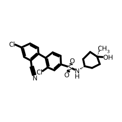 C[C@]1(O)CC[C@H](NS(=O)(=O)c2ccc(-c3ccc(Cl)cc3C#N)c(Cl)c2)CC1